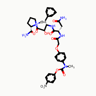 CN(C(=O)Oc1ccc([N+](=O)[O-])cc1)c1ccc(OCC(=O)N[C@@H](CC(N)=O)C(=O)N[C@@H](Cc2ccccc2)[C@H](O)C(=O)[N+]2(C(C)(C)C)CCC[C@H]2C(N)=O)cc1